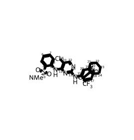 CNS(=O)(=O)c1ccccc1Nc1nc(Nc2ccc3c(c2)C2CCC3CN(C(=O)C(F)(F)F)C2)ncc1Cl